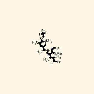 C=C(/C(=C/NC(C)C1=CC(C)=C(OCC(F)(F)CC)N(C)C1)C(/C=C\CCC)NC)C(C)C(=O)C(C)C